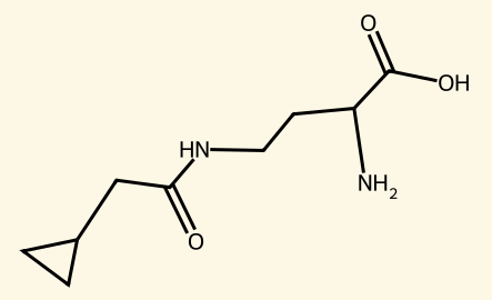 NC(CCNC(=O)CC1CC1)C(=O)O